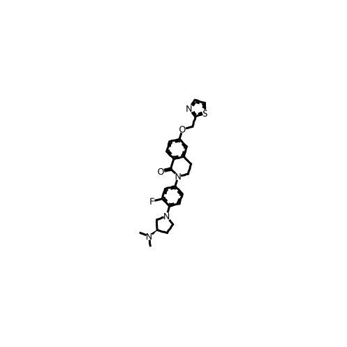 CN(C)[C@@H]1CCN(c2ccc(N3CCc4cc(OCc5nccs5)ccc4C3=O)cc2F)C1